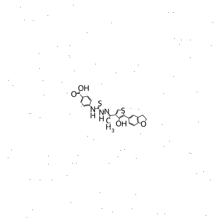 C/C(=N\NC(=S)Nc1ccc(C(=O)O)cc1)c1csc(-c2ccc3c(c2)CCO3)c1O